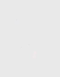 CC(=NNC(=O)c1cccc(C)c1)c1ccncc1